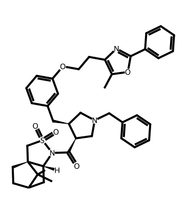 Cc1oc(-c2ccccc2)nc1CCOc1cccc(C[C@H]2CN(Cc3ccccc3)C[C@H]2C(=O)N2[C@@H]3CC4CC[C@]3(CS2(=O)=O)C4(C)C)c1